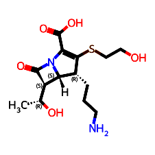 C[C@@H](O)[C@H]1C(=O)N2C(C(=O)O)=C(SCCO)[C@H](CCCN)[C@H]12